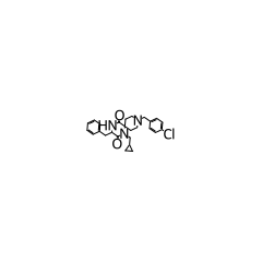 O=C1C(Cc2ccccc2)NC(=O)C2(CCN(Cc3ccc(Cl)cc3)CC2)N1CC1CC1